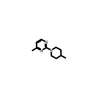 Cc1ccnc(N2CCC(C)CC2)n1